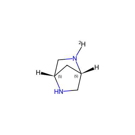 [2H]N1C[C@@H]2C[C@H]1CN2